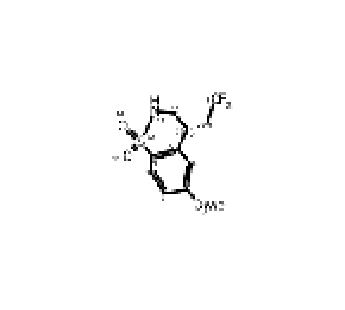 COc1ccc2c(c1)[C@@H](CC(F)(F)F)CNS2(=O)=O